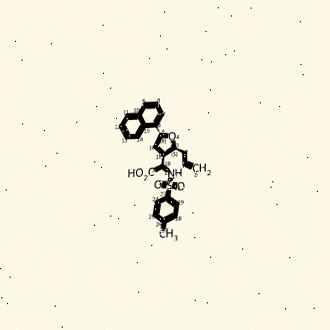 C=CC[C@@H]1O[C@@H](c2cccc3ccccc23)C[C@@H]1C(NS(=O)(=O)c1ccc(C)cc1)C(=O)O